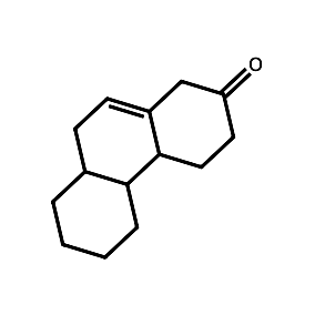 O=C1CCC2C(=CCC3CCCCC32)C1